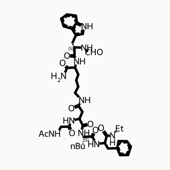 CCCC[C@H](NC(=O)C(CC(=O)NCCCCC(NC(=O)[C@H](Cc1c[nH]c2ccccc12)NC=O)C(N)=O)NC(=O)CNC(C)=O)C(=O)NC(Cc1ccccc1)C(=O)NCC